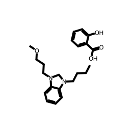 CCCCN1CN(CCCOC)c2ccccc21.O=C(O)c1ccccc1O